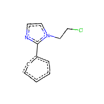 ClCCn1ccnc1-c1ccccc1